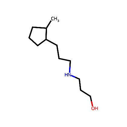 CC1CCCC1CCCNCCCO